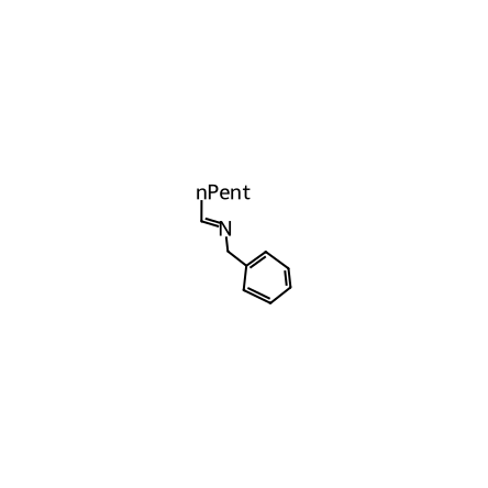 CCCCCC=NCc1ccccc1